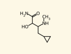 CNC(CC1CC1)C(O)C(N)=O